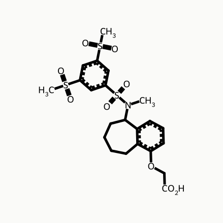 CN(C1CCCCc2c(OCC(=O)O)cccc21)S(=O)(=O)c1cc(S(C)(=O)=O)cc(S(C)(=O)=O)c1